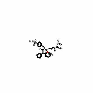 NC(=O)[C@@H](CCCNC(N)=N[N+](=O)[O-])N(Cc1ccc(S(N)(=O)=O)cc1)C(=O)C(c1ccccc1)c1ccccc1